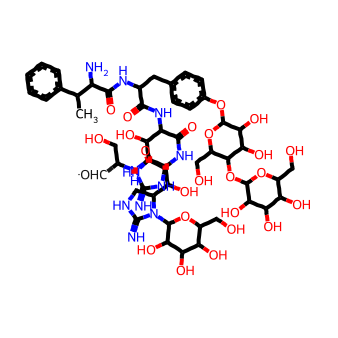 CC(c1ccccc1)C(N)C(=O)NC(Cc1ccc(OC2OC(CO)C(OC3OC(CO)C(O)C(O)C3O)C(O)C2O)cc1)C(=O)NC(C(=O)NC(C(=O)NC([C]=O)CO)C(O)C1CNC(=N)N1C1OC(CO)C(O)C(O)C1O)C(O)C1CNC(=N)N1